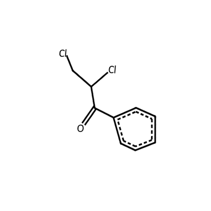 O=C(c1ccccc1)C(Cl)CCl